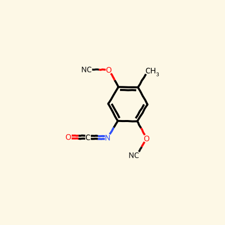 Cc1cc(OC#N)c(N=C=O)cc1OC#N